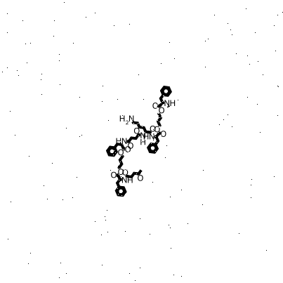 CNC(Cc1ccccc1)C(=O)OCCCCOC(=O)C(Cc1ccccc1)NC(=O)C(CCCCN)NC(=O)CCC(=O)NC(Cc1ccccc1)C(=O)OCCCCOC(=O)C(Cc1ccccc1)NC(=O)CCC(C)=O